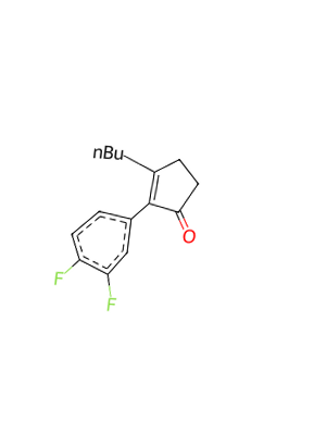 CCCCC1=C(c2ccc(F)c(F)c2)C(=O)CC1